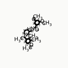 COc1cc(OC)cc(C(=O)NCC2CCCN(C(C)c3ccc(OC)c(C)c3C)C2)c1